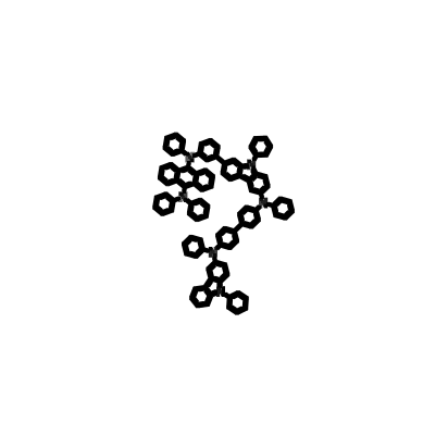 c1ccc(N(c2ccc(-c3ccc(N(c4ccccc4)c4ccc5c(c4)c4ccc(-c6cccc(N(c7ccccc7)c7c8ccccc8c(N(c8ccccc8)c8ccccc8)c8ccccc78)c6)cc4n5-c4ccccc4)cc3)cc2)c2ccc3c(c2)c2ccccc2n3-c2ccccc2)cc1